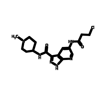 CN1CCC(NC(=O)c2n[nH]c3ncc(NC(=O)CCCl)cc23)CC1